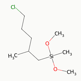 CO[Si](C)(CC(C)CCCCl)OC